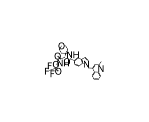 Cc1cc(Cn2ccc3cc(C(=O)NC4(CC(=O)NOC(=O)C(F)(F)F)CCOCC4)ccc32)c2ccccc2n1